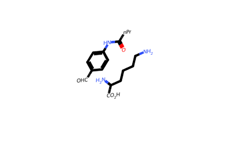 CCCC(=O)Nc1ccc(C=O)cc1.NCCCCC(N)C(=O)O